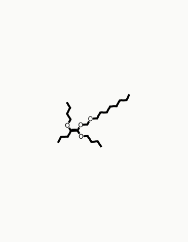 CCCCCCCCOCO/C(OCCCC)=C(/CCC)OCCCC